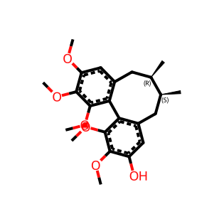 COc1cc2c(c(OC)c1OC)-c1c(cc(O)c(OC)c1OC)C[C@H](C)[C@H](C)C2